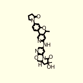 CC1Oc2cc(N3CCCC3=O)ccc2-c2cnc(Nc3cnc4c(c3)N3C(=O)[C@](C)(O)C[C@H]3CO4)cc21